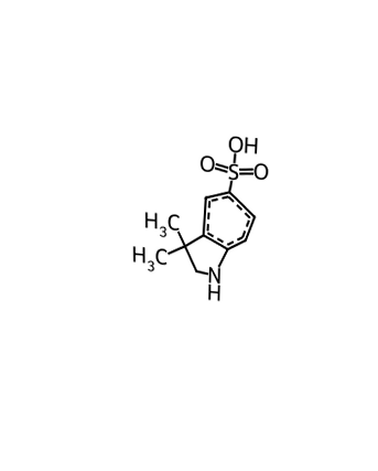 CC1(C)CNc2ccc(S(=O)(=O)O)cc21